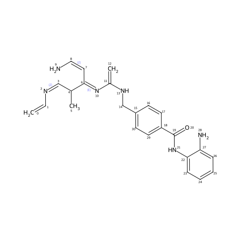 C=C/N=C\C(C)C(/C=C\N)=N/C(=C)NCc1ccc(C(=O)Nc2ccccc2N)cc1